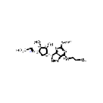 CCCSc1nc(NCCC(C)(C)C)c2nnn([C@@H]3C[C@H](/C=C/C(=O)O)[C@@H](O)[C@H]3O)c2n1